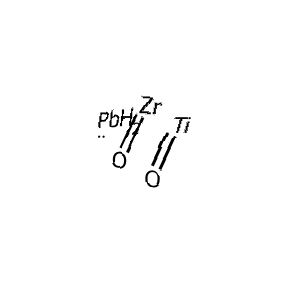 [O]=[Ti].[O]=[Zr].[PbH2]